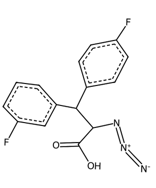 [N-]=[N+]=NC(C(=O)O)C(c1ccc(F)cc1)c1cccc(F)c1